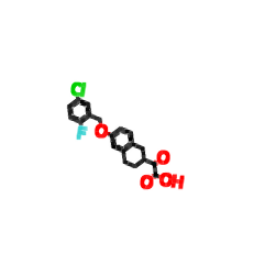 O=C(O)C(=O)C1CCc2cc(OCc3cc(Cl)ccc3F)ccc2C1